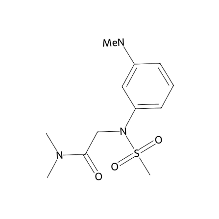 CNc1cccc(N(CC(=O)N(C)C)S(C)(=O)=O)c1